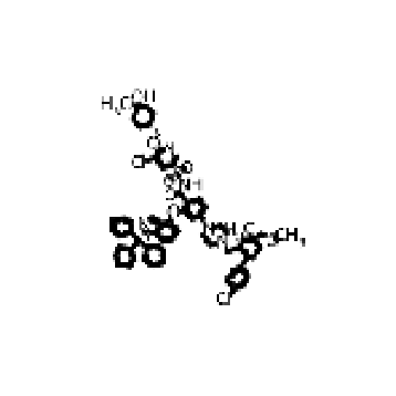 COCC1(C)CCC(c2ccc(Cl)cc2)=C(CN2CCN(c3ccc(C(=O)NS(=O)(=O)c4cnc(OC[C@H]5CC[C@@](C)(O)CC5)c(Cl)c4)c(Oc4cccc5c4cnn5C(c4ccccc4)(c4ccccc4)c4ccccc4)c3)CC2)C1